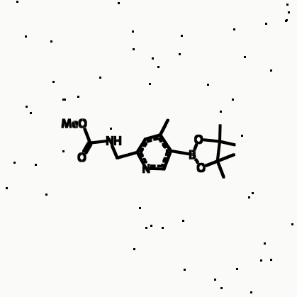 COC(=O)NCc1cc(C)c(B2OC(C)(C)C(C)(C)O2)cn1